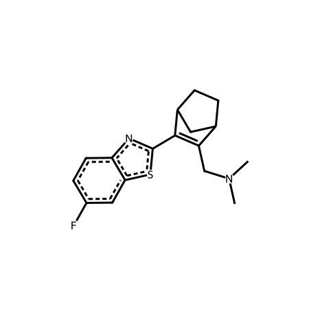 CN(C)CC1=C(c2nc3ccc(F)cc3s2)C2CCC1C2